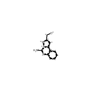 Nc1nc2ccccc2c2cc(CCl)nn12